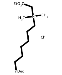 CCCCCCCCCCCCCCCC[N+](C)(C)CC(=O)OCC.[Cl-]